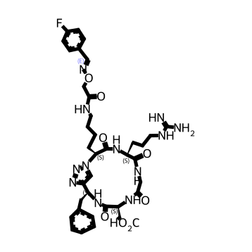 N=C(N)NCCC[C@@H]1NC(=O)[C@H](CCCCNC(=O)CO/N=C/c2ccc(F)cc2)n2cc(nn2)[C@H](Cc2ccccc2)NC(=O)[C@H](CC(=O)O)NC(=O)CNC1=O